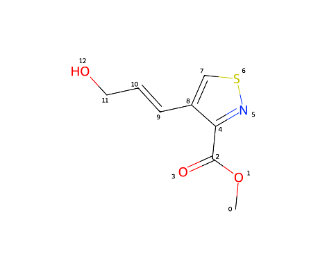 COC(=O)c1nscc1C=CCO